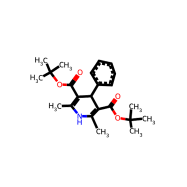 CC1=C(C(=O)OC(C)(C)C)C(c2ccccc2)C(C(=O)OC(C)(C)C)=C(C)N1